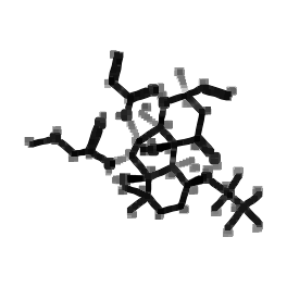 C=CC(=O)O[C@H]1[C@@H](OC(=O)COC)[C@H]2C(C)(C)CC[C@H](O[Si](C)(C)C(C)(C)C)[C@]2(C)[C@@]2(O)C(=O)C[C@](C)(C=C)O[C@]12C